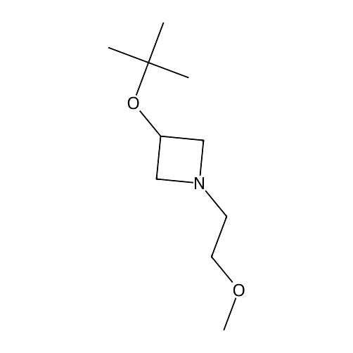 COCCN1CC(OC(C)(C)C)C1